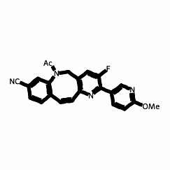 COc1ccc(-c2nc3c(cc2F)CN(C(C)=O)c2cc(C#N)ccc2/C=C\3)cn1